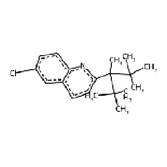 CC(C)(C)C(C)(c1ccc2cc(Cl)ccc2n1)C(C)(C)C